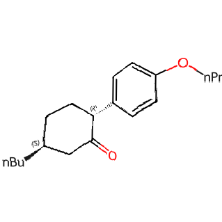 CCCC[C@H]1CC[C@H](c2ccc(OCCC)cc2)C(=O)C1